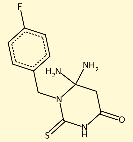 NC1(N)CC(=O)NC(=S)N1Cc1ccc(F)cc1